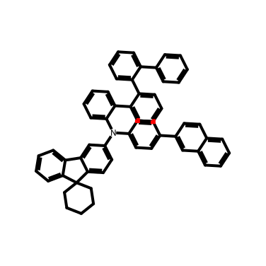 c1ccc(-c2ccccc2-c2ccccc2-c2ccccc2N(c2ccc(-c3ccc4ccccc4c3)cc2)c2ccc3c(c2)-c2ccccc2C32CCCCC2)cc1